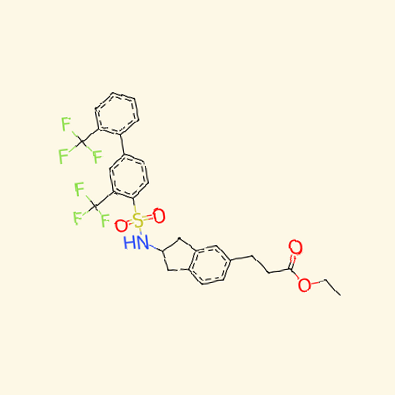 CCOC(=O)CCc1ccc2c(c1)CC(NS(=O)(=O)c1ccc(-c3ccccc3C(F)(F)F)cc1C(F)(F)F)C2